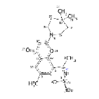 C/C(=N/[S@+]([O-])C(C)(C)C)c1cc(C)cc2c(=O)cc(N3CCC(C)(C)CC3)oc12